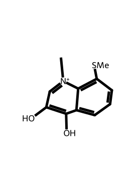 CSc1cccc2c(O)c(O)c[n+](C)c12